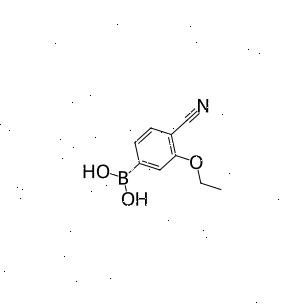 CCOc1cc(B(O)O)ccc1C#N